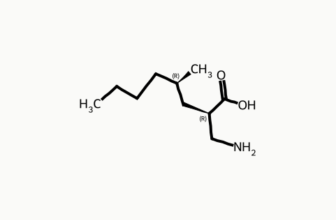 CCCC[C@@H](C)C[C@H](CN)C(=O)O